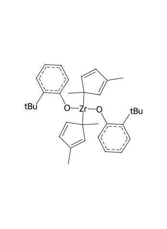 CC1=C[C](C)([Zr]([O]c2ccccc2C(C)(C)C)([O]c2ccccc2C(C)(C)C)[C]2(C)C=CC(C)=C2)C=C1